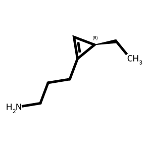 CC[C@@H]1C=C1CCCN